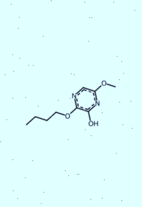 CCCCOc1ncc(OC)nc1O